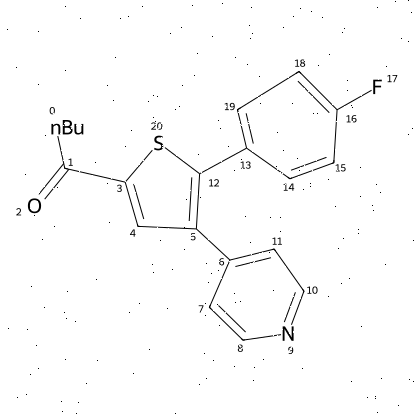 CCCCC(=O)c1cc(-c2ccncc2)c(-c2ccc(F)cc2)s1